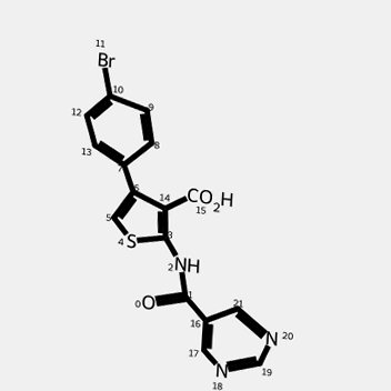 O=C(Nc1scc(-c2ccc(Br)cc2)c1C(=O)O)c1cncnc1